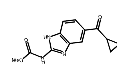 COC(=O)Nc1nc2cc(C(=O)C3CC3)ccc2[nH]1